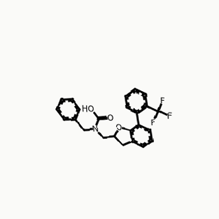 O=C(O)N(Cc1ccccc1)CC1Cc2cccc(-c3ccccc3C(F)(F)F)c2O1